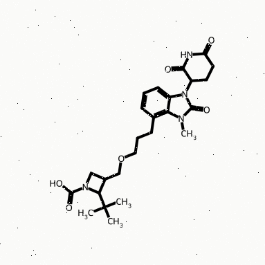 Cn1c(=O)n(C2CCC(=O)NC2=O)c2cccc(CCCOCC3CN(C(=O)O)C3C(C)(C)C)c21